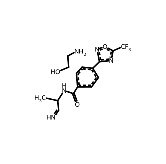 CC(C=N)NC(=O)c1ccc(-c2noc(C(F)(F)F)n2)cc1.NCCO